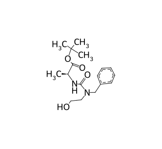 C[C@H](NC(=O)N(CCO)Cc1ccccc1)C(=O)OC(C)(C)C